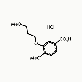 COCCCOc1cc(C(=O)O)ccc1OC.Cl